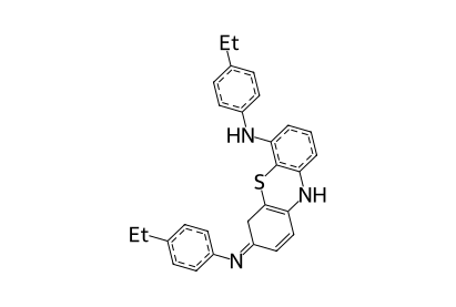 CCc1ccc(N=C2C=CC3=C(C2)Sc2c(cccc2Nc2ccc(CC)cc2)N3)cc1